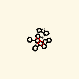 c1ccc(-c2ccc(-c3c(N(c4ccccc4-c4cccc5c4oc4ccccc45)c4cccc5oc6ccccc6c45)c4ccccc4c4ccccc34)cc2)cc1